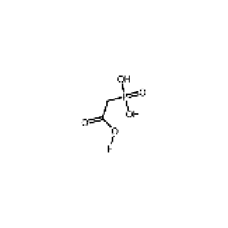 O=C(CP(=O)(O)O)OF